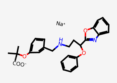 CC(C)(Oc1cccc(CNCCC(Oc2ccccc2)c2nc3ccccc3o2)c1)C(=O)[O-].[Na+]